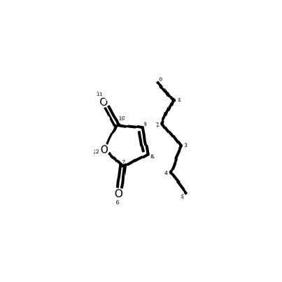 CCCCCC.O=C1C=CC(=O)O1